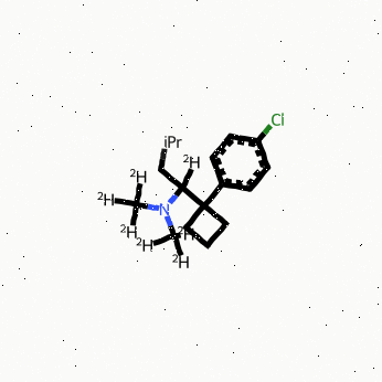 [2H]C([2H])([2H])N(C([2H])([2H])[2H])C([2H])(CC(C)C)C1(c2ccc(Cl)cc2)CCC1